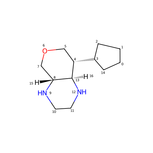 C1CCC([C@H]2COC[C@H]3NCCN[C@H]23)C1